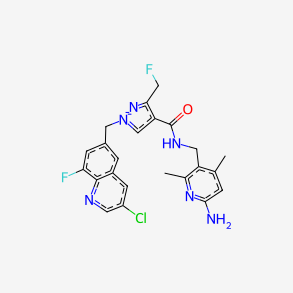 Cc1cc(N)nc(C)c1CNC(=O)c1cn(Cc2cc(F)c3ncc(Cl)cc3c2)nc1CF